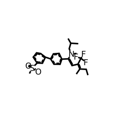 CC/C(C)=C(/C=C(/c1ccc(-c2cccc(S(C)(=O)=O)c2)cc1)N(C)CC(C)C)C(F)(F)F